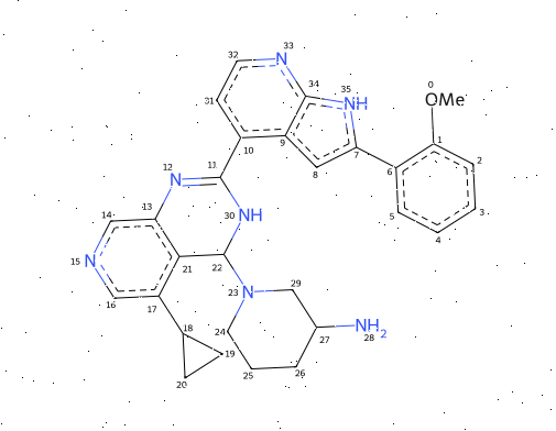 COc1ccccc1-c1cc2c(C3=Nc4cncc(C5CC5)c4C(N4CCCC(N)C4)N3)ccnc2[nH]1